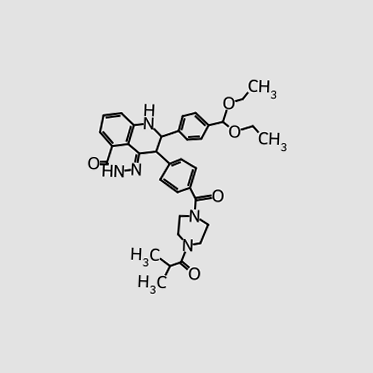 CCOC(OCC)c1ccc(C2Nc3cccc4c(=O)[nH]nc(c34)C2c2ccc(C(=O)N3CCN(C(=O)C(C)C)CC3)cc2)cc1